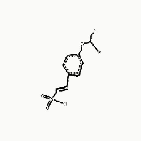 O=S(=O)(Cl)/C=C/c1ccc(OC(F)F)cc1